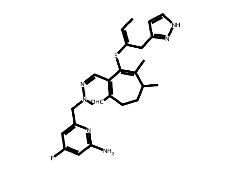 C/C=C(\Cc1cc[nH]n1)SC1=C(C)C(C)CCC(C=O)=C1/C=N\N(C)Cc1cc(F)cc(N)n1